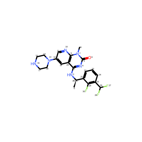 C[C@@H](Nc1nc(=O)n(C)c2ncc(N3CCNCC3)cc12)c1cccc(C(F)F)c1F